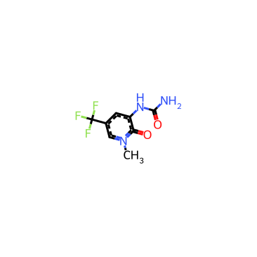 Cn1cc(C(F)(F)F)cc(NC(N)=O)c1=O